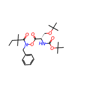 CCC(C)(C)C(=O)N(Cc1ccccc1)OC(=O)[C@H](COC(C)(C)C)NC(=O)OC(C)(C)C